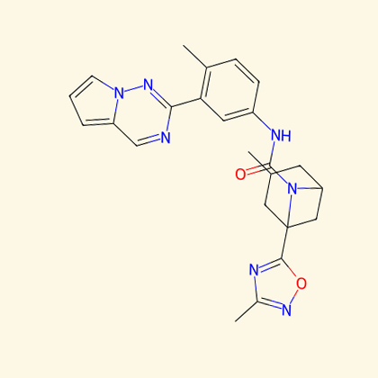 Cc1noc(C23CC(C)CC(C2)N3C(=O)Nc2ccc(C)c(-c3ncc4cccn4n3)c2)n1